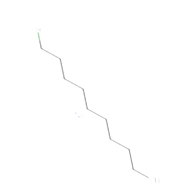 CCCCCCCCCCBr.N